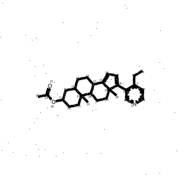 CCc1ccncc1C1=CC=C2C3CCC4CC(OC(C)=O)CCC4(C)C3CCC12C